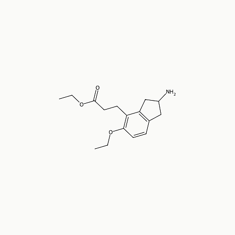 CCOC(=O)CCc1c(OCC)ccc2c1CC(N)C2